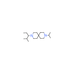 CCC(C(C)C)N1CCC2(CCN(C(C)C)CC2)CC1